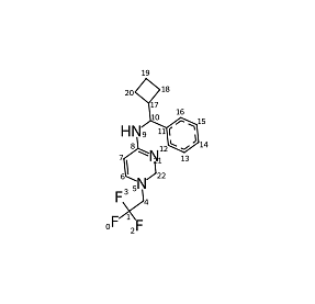 FC(F)(F)CN1C=CC(NC(c2ccccc2)C2CCC2)=NC1